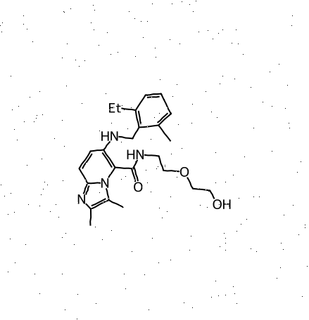 CCc1cccc(C)c1CNc1ccc2nc(C)c(C)n2c1C(=O)NCCOCCO